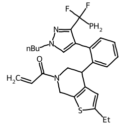 C=CC(=O)N1Cc2sc(CC)cc2C(c2ccccc2-c2cn(CCCC)nc2C(F)(F)P)C1